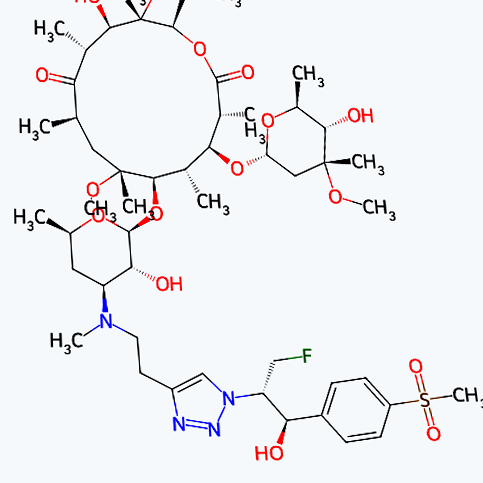 CC[C@H]1OC(=O)[C@H](C)[C@@H](O[C@H]2C[C@@](C)(OC)[C@@H](O)[C@H](C)O2)[C@H](C)[C@@H](O[C@@H]2O[C@H](C)C[C@H](N(C)CCc3cn([C@H](CF)[C@H](O)c4ccc(S(C)(=O)=O)cc4)nn3)[C@H]2O)[C@](C)(OC)C[C@@H](C)C(=O)[C@H](C)[C@@H](O)[C@]1(C)O